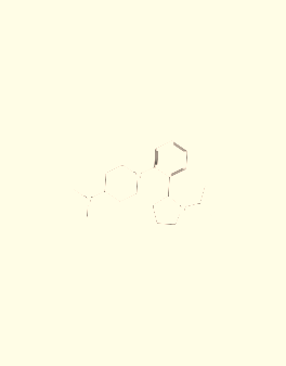 CC(C)N1CCCC1c1ccccc1N1CCC(N(C)C)CC1